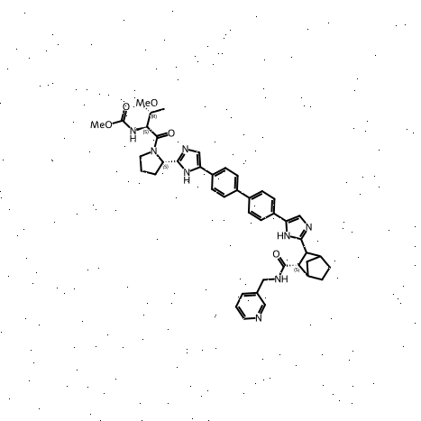 COC(=O)N[C@H](C(=O)N1CCC[C@H]1c1ncc(-c2ccc(-c3ccc(-c4cnc(C5C6CCC(C6)[C@@H]5C(=O)NCc5cccnc5)[nH]4)cc3)cc2)[nH]1)[C@@H](C)OC